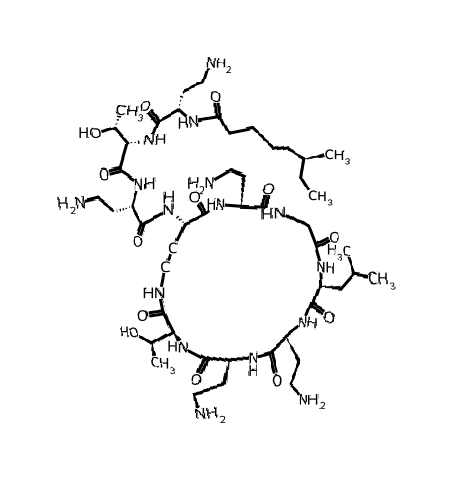 CC[C@H](C)CCCCC(=O)N[C@@H](CCN)C(=O)N[C@H](C(=O)N[C@@H](CCN)C(=O)N[C@H]1CCNC(=O)[C@H]([C@@H](C)O)NC(=O)[C@H](CCN)NC(=O)[C@H](CCN)NC(=O)[C@H](CC(C)C)NC(=O)CNC(=O)[C@H](CCN)NC1=O)[C@@H](C)O